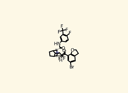 O=C(N[C@@H]1C2CCC(/C2=C/C(F)(F)F)[C@@H]1C(=O)Nc1ccc(F)c(C(F)(F)F)c1)c1cc(Br)cc2c1OCC2